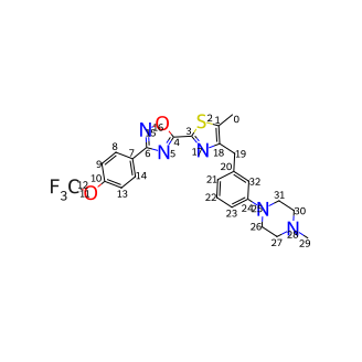 Cc1sc(-c2nc(-c3ccc(OC(F)(F)F)cc3)no2)nc1Cc1cccc(N2CCN(C)CC2)c1